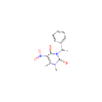 Cc1c([N+](=O)[O-])c(=O)n(C(C)c2ccccc2)c(=O)n1C